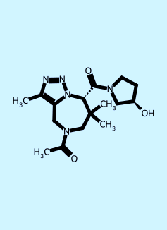 CC(=O)N1Cc2c(C)nnn2[C@H](C(=O)N2CC[C@@H](O)C2)C(C)(C)C1